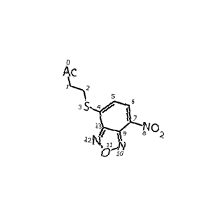 CC(=O)CCSc1ccc([N+](=O)[O-])c2nonc12